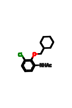 CC(=O)Nc1cccc(Cl)c1OCC1CCCCC1